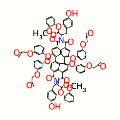 COc1ccccc1OC(=O)C(Cc1ccc(O)cc1)N1C(=O)c2cc(Oc3cccc(OCC4CO4)c3)c3c4c(Oc5cccc(OCC6CO6)c5)cc5c6c(cc(Oc7cccc(OCC8CO8)c7)c(c7c(Oc8cccc(OCC9CO9)c8)cc(c2c37)C1=O)c64)C(=O)N(C(Cc1ccc(O)cc1)C(=O)Oc1ccccc1OC)C5=O